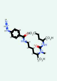 CN(C(=O)NC(CCC(=O)O)C(=O)O)C(CCCCNC(=O)c1ccc(N=[N+]=[N-])cc1)C(=O)O